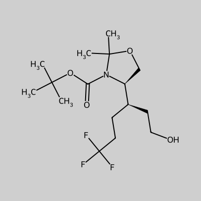 CC(C)(C)OC(=O)N1[C@H]([C@@H](CCO)CCC(F)(F)F)COC1(C)C